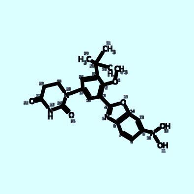 COc1c(-c2nc3ccc(N(O)O)cc3o2)cc(N2CCC(=O)NC2=O)cc1C(C)(C)C